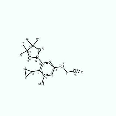 COCOc1cc(Cl)c(C2CC2)c(B2OC(C)(C)C(C)(C)O2)c1